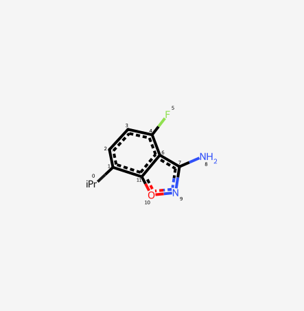 CC(C)c1ccc(F)c2c(N)noc12